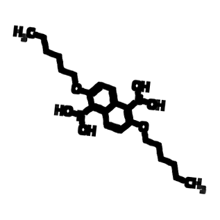 CCCCCCOc1ccc2c(B(O)O)c(OCCCCCC)ccc2c1B(O)O